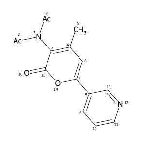 CC(=O)N(C(C)=O)c1c(C)cc(-c2cccnc2)oc1=O